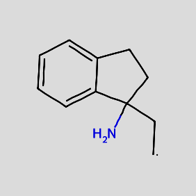 [CH2]CC1(N)CCc2ccccc21